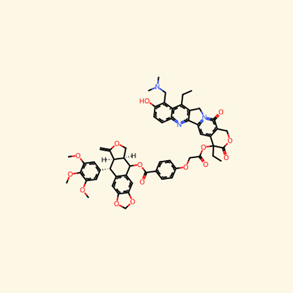 C=C1OC[C@H]2C(OC(=O)c3ccc(OCC(=O)OC4(CC)C(=O)OCc5c4cc4n(c5=O)Cc5c-4nc4ccc(O)c(CN(C)C)c4c5CC)cc3)c3cc4c(cc3[C@H](c3cc(OC)c(OC)c(OC)c3)[C@@H]12)OCO4